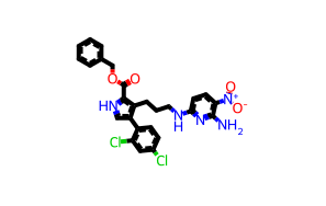 Nc1nc(NCCCc2c(-c3ccc(Cl)cc3Cl)c[nH]c2C(=O)OCc2ccccc2)ccc1[N+](=O)[O-]